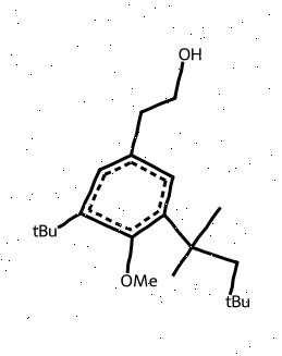 COc1c(C(C)(C)C)cc(CCO)cc1C(C)(C)CC(C)(C)C